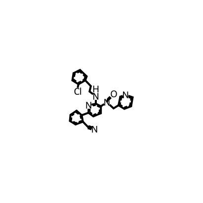 N#Cc1ccccc1-c1ccc(N(C=O)Cc2cccnc2)c(NCCc2ccccc2Cl)n1